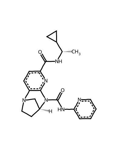 C[C@H](NC(=O)c1ccc2c(n1)N(C(=O)Nc1ccccn1)[C@H]1CCN2C1)C1CC1